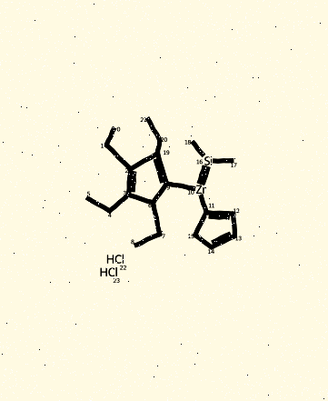 CCC1=C(CC)C(CC)[C]([Zr]([C]2=CC=CC2)=[Si](C)C)=C1CC.Cl.Cl